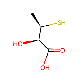 C[C@@H](S)[C@H](O)C(=O)O